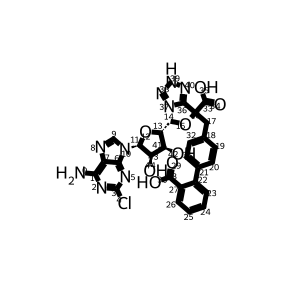 Nc1nc(Cl)nc2c1ncn2[C@@H]1O[C@H](COC(Cc2ccc(-c3ccccc3C(=O)O)cc2)(C(=O)O)c2nn[nH]n2)[C@@H](O)[C@H]1O